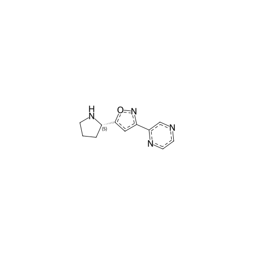 c1cnc(-c2cc([C@@H]3CCCN3)on2)cn1